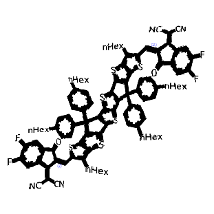 CCCCCCc1ccc(C2(c3ccc(CCCCCC)cc3)c3c(sc4c(CCCCCC)c(/C=C5\C(=O)c6cc(F)c(F)cc6C5=C(C#N)C#N)sc34)-c3sc4c5c(sc4c32)-c2sc3c(CCCCCC)c(/C=C4\C(=O)c6cc(F)c(F)cc6C4=C(C#N)C#N)sc3c2C5(c2ccc(CCCCCC)cc2)c2ccc(CCCCCC)cc2)cc1